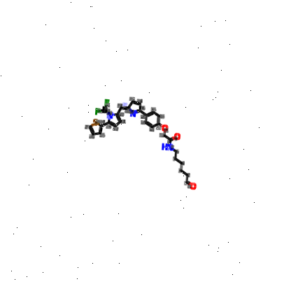 O=CCCCCCNC(=O)COc1ccc(C2=N/C(=C\c3ccc(-c4cccs4)n3B(F)F)C=C2)cc1